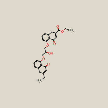 CCOC(=O)C1=CC(=O)c2c(cccc2OCC(O)COc2cccc3c2C(=O)C=C(CC)C3)C1